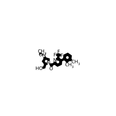 CO/N=C1\CC(CO)N(C(=O)c2ccc(-c3cccc(C)c3C)c(C(F)(F)F)n2)C1